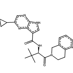 CC(C)(C)[C@@H](NC(=O)c1c[nH]c2ncc(C3CC3)nc12)C(=O)N1CCc2ncccc2C1